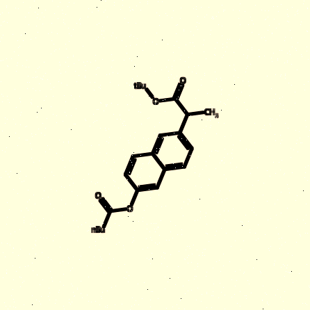 CCCCC(=O)Oc1ccc2cc(C(C)C(=O)OC(C)(C)C)ccc2c1